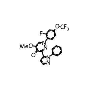 COc1cn(-c2ccc(OC(F)(F)F)cc2F)nc(-c2ccnn2-c2ccccc2)c1=O